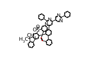 CC1(C)c2ccccc2-c2cc3c(cc21)S(=O)(=O)c1ccccc1C31c2ccccc2-c2ccccc2-c2ccc(-c3cc(-c4cnc(-c5ccccc5)nc4)nc(-c4ccccc4)n3)cc21